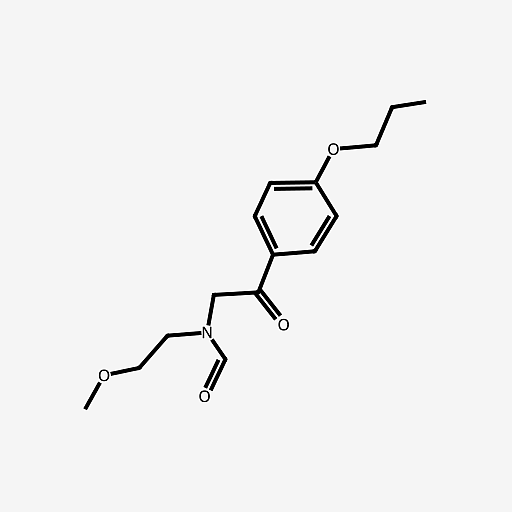 CCCOc1ccc(C(=O)CN(C=O)CCOC)cc1